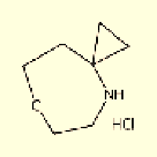 C1CCNC2(CC1)CC2.Cl